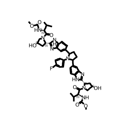 COC(=O)N[C@H](C(=O)N1C[C@@H](O)C[C@H]1c1nc2cc(C3CCC(c4ccc5[nH]c([C@@H]6C[C@H](O)CN6C(=O)[C@@H](NC(=O)OC)C(C)C)nc5c4)N3c3ccc(F)cc3)ccc2[nH]1)C(C)C